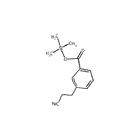 C[Si](C)(C)OC(=O)c1cccc(CCC#N)c1